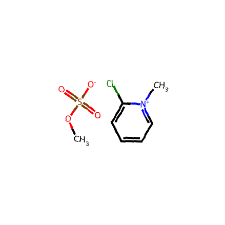 COS(=O)(=O)[O-].C[n+]1ccccc1Cl